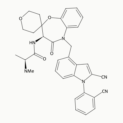 CN[C@@H](C)C(=O)N[C@@H]1C(=O)N(Cc2cccc3c2cc(C#N)n3-c2ccccc2C#N)c2ccccc2OC12CCOCC2